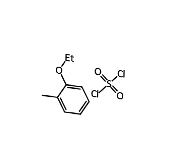 CCOc1ccccc1C.O=S(=O)(Cl)Cl